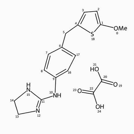 COc1ccc(Cc2ccc(NC3=NCCN3)cc2)s1.O=C(O)C(=O)O